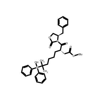 CC(C)(C)OC(=O)C[C@H](CCCCC(C)(C)[Si](O)(c1ccccc1)c1ccccc1)C(=O)N1C(=O)OC[C@H]1Cc1ccccc1